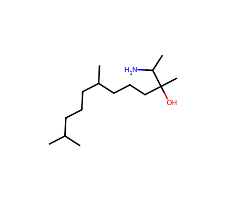 CC(C)CCCC(C)CCCC(C)(O)C(C)N